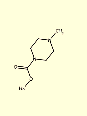 CN1CCN(C(=O)OS)CC1